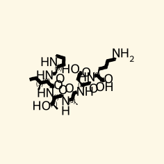 CC[C@H](C)[C@H](NC(=O)[C@@H]1CCCN1)C(=O)N[C@H](C(=O)N[C@@H](C)C(=O)N[C@@H](CC(=O)O)C(=O)N[C@@H](CCCCN)C(=O)O)[C@@H](C)O